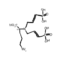 NCCC[C@@H](C(=O)O)N(CC=CP(=O)(O)O)CC=CP(=O)(O)O